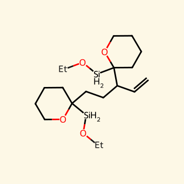 C=CC(CCC1([SiH2]OCC)CCCCO1)C1([SiH2]OCC)CCCCO1